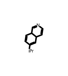 CC(C)C1=CC2C=CN=CC2C=C1